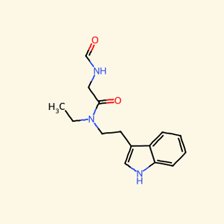 CCN(CCc1c[nH]c2ccccc12)C(=O)CNC=O